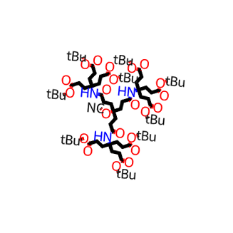 CC(C)(C)OC(=O)CCC(CCC(=O)OC(C)(C)C)(CCC(=O)OC(C)(C)C)NC(=O)CCC(CCC(=O)NC(CCC(=O)OC(C)(C)C)(CCC(=O)OC(C)(C)C)CCC(=O)OC(C)(C)C)(CCC(=O)NC(CCC(=O)OC(C)(C)C)(CCC(=O)OC(C)(C)C)CCC(=O)OC(C)(C)C)OC#N